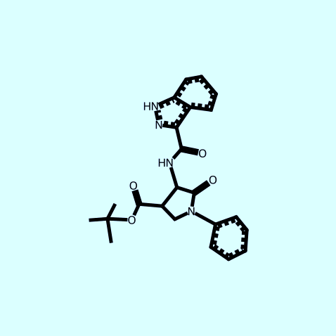 CC(C)(C)OC(=O)C1CN(c2ccccc2)C(=O)C1NC(=O)c1n[nH]c2ccccc12